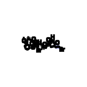 CON(c1ccccc1)[C@@H](C)C(=O)OP(=O)(O)OC[C@H]1O[C@@H](n2cc(/C=C/Br)c(=O)[nH]c2=O)C[C@@H]1Br